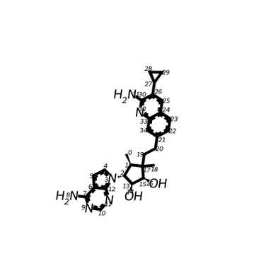 C[C@@H]1[C@@H](n2ccc3c(N)ncnc32)[C@H](O)[C@H](O)C1(C)CCc1ccc2cc(C3CC3)c(N)nc2c1